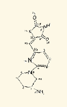 N[C@@H]1CCCN(c2nccc(C=C3SC(=O)NC3=O)n2)C1